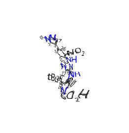 Cn1cc(-c2ccc(Nc3cncc(N[C@H]4CN(C(=O)O)C[C@H]4CC(C)(C)C)n3)c([N+](=O)[O-])c2)cn1